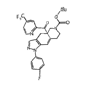 CC(C)(C)OC(=O)N1CCC2=Cc3c(cnn3-c3ccc(F)cc3)CC2(C(=O)c2cc(C(F)(F)F)ccn2)C1